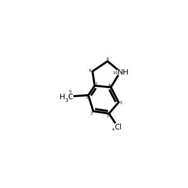 Cc1cc(Cl)cc2c1CCN2